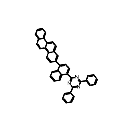 c1ccc(-c2nc(-c3ccccc3)nc(-c3ccc(-c4ccc5c(ccc6c7ccccc7ccc56)c4)c4ccccc34)n2)cc1